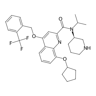 CC(C)N(C(=O)c1cc(OCc2ccccc2C(F)(F)F)c2cccc(OC3CCCC3)c2n1)[C@@H]1CCCNC1